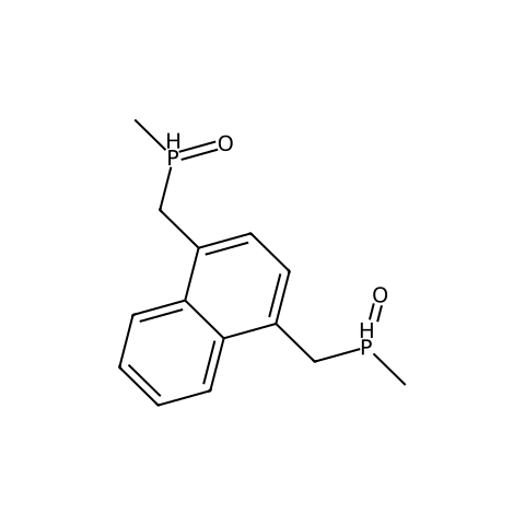 C[PH](=O)Cc1ccc(C[PH](C)=O)c2ccccc12